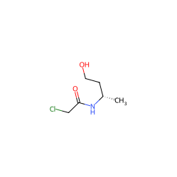 C[C@@H](CCO)NC(=O)CCl